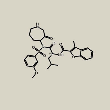 COc1cccc(S(=O)(=O)N(C(=O)[C@H](CC(C)C)NC(=O)c2oc3ccccc3c2C)C2CCCNCC2=O)c1